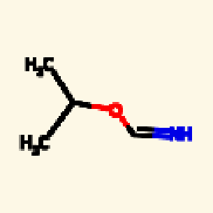 CC(C)OC=N